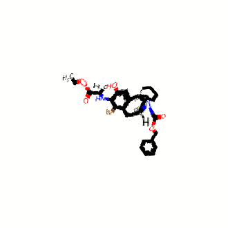 CCOC(=O)C(C)Nc1c(O)cc2c(c1Br)C[C@H]1C3CCCC[C@@]23CCN1C(=O)OCc1ccccc1